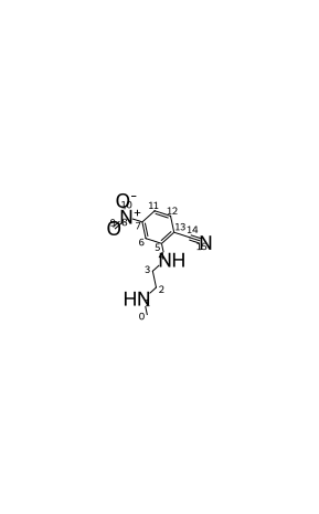 CNCCNc1cc([N+](=O)[O-])ccc1C#N